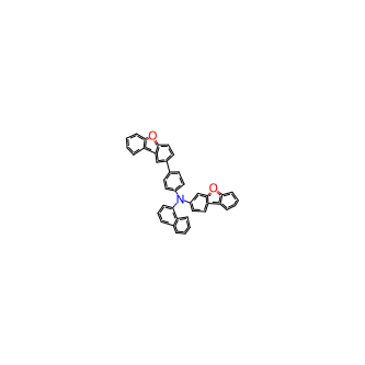 c1ccc2c(N(c3ccc(-c4ccc5oc6ccccc6c5c4)cc3)c3ccc4c(c3)oc3ccccc34)cccc2c1